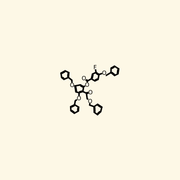 O=C(Oc1cc(OCc2ccccc2)cc(OCc2ccccc2)c1C(=O)COCc1ccccc1)c1ccc(OCc2ccccc2)c(F)c1